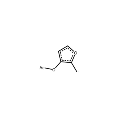 [CH2]c1occc1OC(C)=O